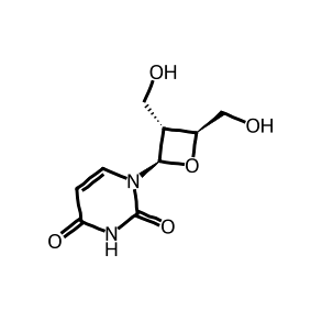 O=c1ccn([C@@H]2O[C@H](CO)[C@H]2CO)c(=O)[nH]1